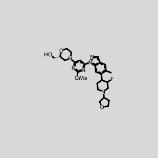 COc1nc(N2CCO[C@@H](CO)C2)cc(-n2ncc3cc(C)c(C4CCN(C5CCOC5)CC4F)cc32)n1